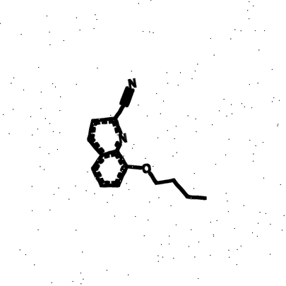 CCCCOc1cccc2ccc(C#N)nc12